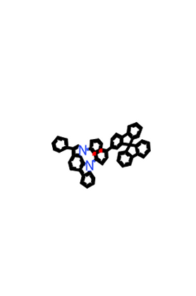 c1ccc(-c2cn(-c3ccccc3)c3c2ccc2c4ccccc4n(-c4ccc(-c5ccc6c(c5)C5(c7ccccc7-c7ccccc75)c5ccccc5-6)cc4)c23)cc1